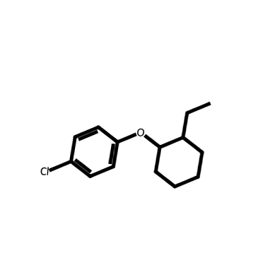 CCC1CCCCC1Oc1ccc(Cl)cc1